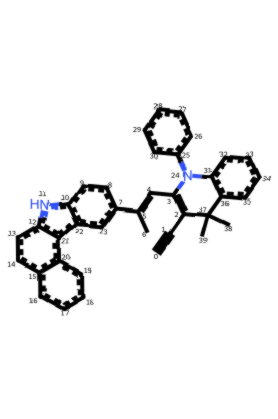 C#CC1=C(/C=C(\C)c2ccc3[nH]c4ccc5ccccc5c4c3c2)N(c2ccccc2)c2ccccc2C1(C)C